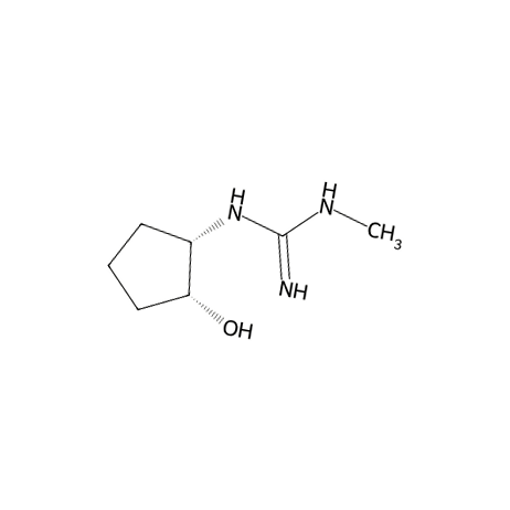 CNC(=N)N[C@H]1CCC[C@H]1O